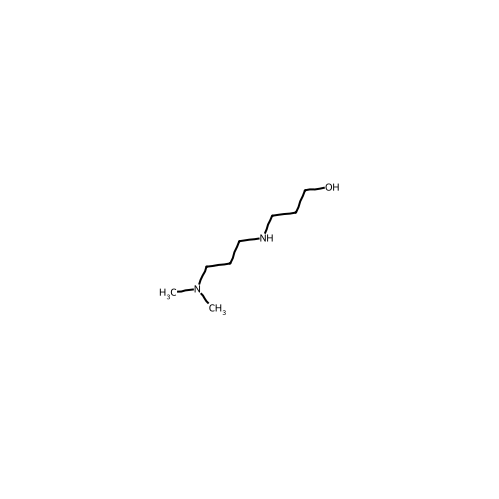 CN(C)CCCNCCCO